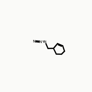 [N-]=[N+]=NCC1C=CCCC1